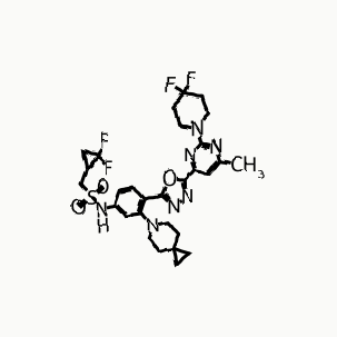 Cc1cc(-c2nnc(-c3ccc(NS(=O)(=O)CC4CC4(F)F)cc3N3CCC4(CC3)CC4)o2)nc(N2CCC(F)(F)CC2)n1